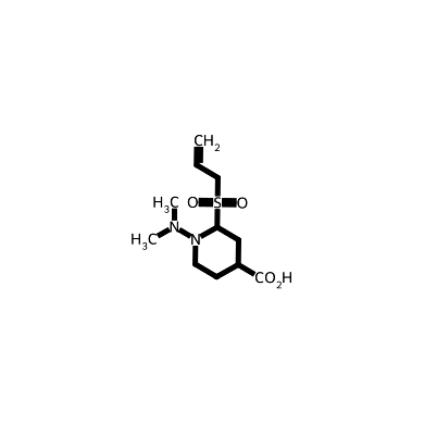 C=CCS(=O)(=O)C1CC(C(=O)O)CCN1N(C)C